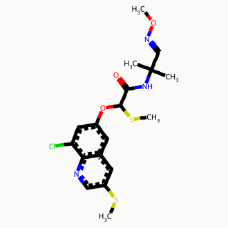 CON=CC(C)(C)NC(=O)C(Oc1cc(Cl)c2ncc(SC)cc2c1)SC